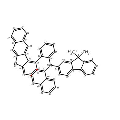 CC1(C)c2ccccc2-c2ccc(N(c3ccccc3-c3cccc4oc5cc6ccccc6cc5c34)c3cccc4ccccc34)cc21